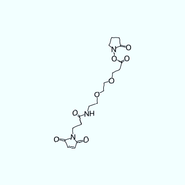 O=C(CCN1C(=O)C=CC1=O)NCCOCCOCCC(=O)ON1CCCC1=O